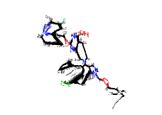 C[Si](C)(C)CCOCn1ncc2c(N3CCc4c(O)nc(OC[C@@]56CCCN5C[C@H](F)C6)nc4C3)c(C3CC3)c(Cl)cc21